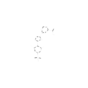 Cc1cc(S(C)(=O)=O)cc(C)c1-c1csc(-c2cc(C(N)=O)ccn2)n1